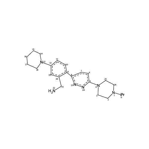 CC(C)N1CCN(c2ccc(-c3ccc(N4CCCCC4)cc3CN)nn2)CC1